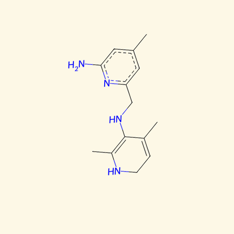 CC1=CCNC(C)=C1NCc1cc(C)cc(N)n1